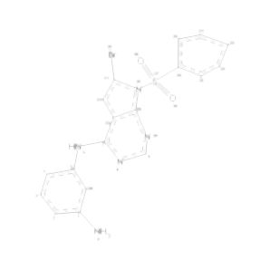 Nc1cccc(Nc2ncnc3c2cc(Br)n3S(=O)(=O)c2ccccc2)c1